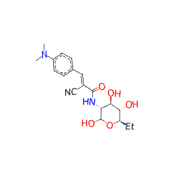 CC[C@H]1OC(O)[C@H](NC(=O)/C(C#N)=C/c2ccc(N(C)C)cc2)[C@@H](O)[C@@H]1O